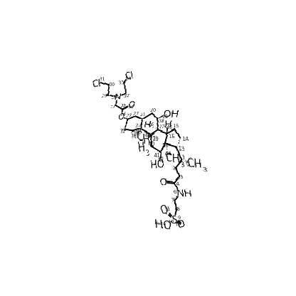 C[C@H](CCC(=O)NCCS(=O)(=O)O)[C@H]1CC[C@H]2[C@@H]3[C@H](O)CC4C[C@H](OC(=O)CN(CCCl)CCCl)CC[C@]4(C)[C@H]3C[C@H](O)[C@]12C